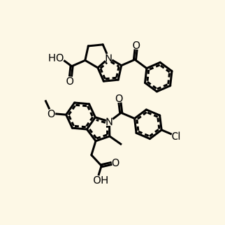 COc1ccc2c(c1)c(CC(=O)O)c(C)n2C(=O)c1ccc(Cl)cc1.O=C(c1ccccc1)c1ccc2n1CCC2C(=O)O